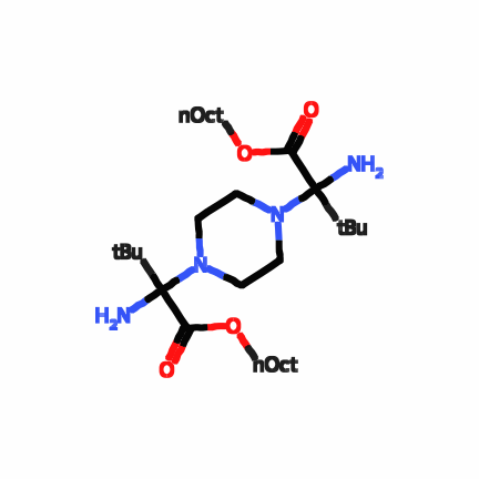 CCCCCCCCOC(=O)C(N)(N1CCN(C(N)(C(=O)OCCCCCCCC)C(C)(C)C)CC1)C(C)(C)C